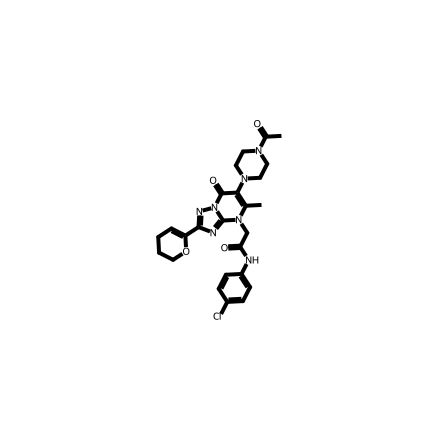 CC(=O)N1CCN(c2c(C)n(CC(=O)Nc3ccc(Cl)cc3)c3nc(C4=CCCCO4)nn3c2=O)CC1